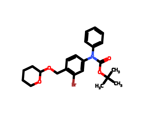 CC(C)(C)OC(=O)N(c1ccccc1)c1ccc(COC2CCCCO2)c(Br)c1